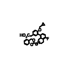 O=C(O)Cc1ccc(OCC2CC2)c(-c2ccc(F)c3c2CN(OC(=O)OCc2ccccc2)CC3)c1